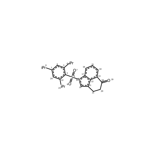 CC(C)c1cc(C(C)C)c(S(=O)(=O)n2cc3c4c(cccc42)C(=O)CC3)c(C(C)C)c1